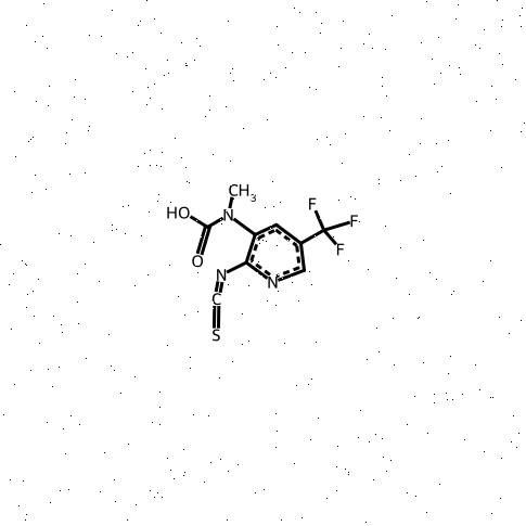 CN(C(=O)O)c1cc(C(F)(F)F)cnc1N=C=S